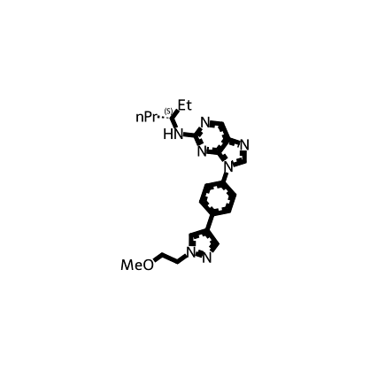 CCC[C@H](CC)Nc1ncc2ncn(-c3ccc(-c4cnn(CCOC)c4)cc3)c2n1